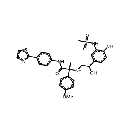 COc1ccc(C(C)(NCC(O)c2ccc(O)c(NS(C)(=O)=O)c2)C(=O)Nc2ccc(-c3nccs3)cc2)cc1